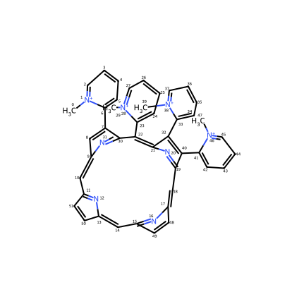 C[n+]1ccccc1C1=CC2=CC3=NC(=CC4=NC(=CC5=NC(=C(c6cccc[n+]6C)C1=N2)C(c1cccc[n+]1C)=C5c1cccc[n+]1C)C=C4)C=C3